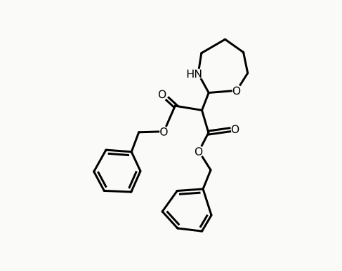 O=C(OCc1ccccc1)C(C(=O)OCc1ccccc1)C1NCCCCO1